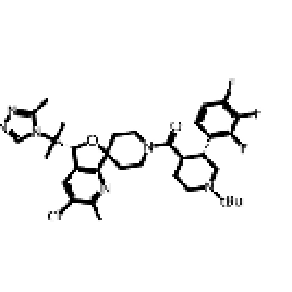 Cc1nc2c(cc1Cl)[C@H](C(C)(C)n1cnnc1C)OC21CCN(C(=O)C2CCN(C(C)(C)C)C[C@H]2c2ccc(F)c(F)c2F)CC1